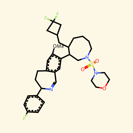 COc1cc2c(cc1C1CN(S(=O)(=O)N3CCOCC3)CCCCC1CC1CC(F)(F)C1)C=NC(c1ccc(F)cc1)CC2